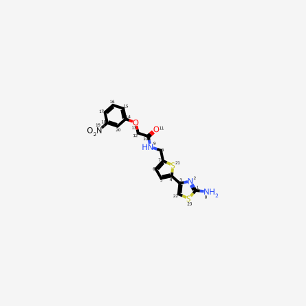 Nc1nc(-c2ccc(CNC(=O)COc3cccc([N+](=O)[O-])c3)s2)cs1